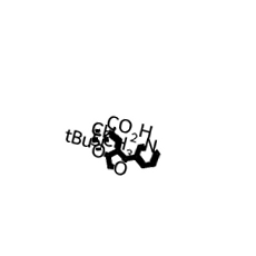 CC(C)(C)[Si](C)(C)OC1COC(c2cccnc2)C1/C=C/C(=O)O